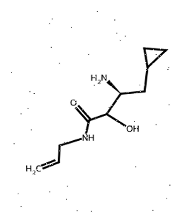 C=CCNC(=O)C(O)[C@@H](N)CC1CC1